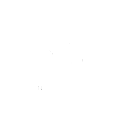 CN1CCC(N(C(=O)OC(C)(C)C)C2CC2)CC1